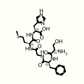 CSCC[C@H](NC(=O)CNC(=O)[C@H](Cc1ccccc1)NC(=O)[C@@H](N)CO)C(=O)N[C@@H](Cc1c[nH]cn1)C(=O)O